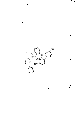 N#Cc1ccc2c3ccc(C#N)cc3n(-c3cccc4c3C(O)N(c3cccc(-c5ccccc5)c3)C4O)c2c1